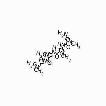 CN(C)CCCNC(=O)c1cc(NC(=O)c2cc(NC(=O)c3cc(N)cn3C)cn2C)cn1C